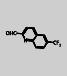 O=Cc1ccc2cc(C(F)(F)F)ccc2n1